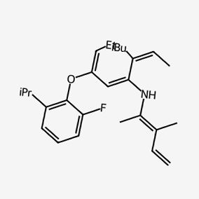 C=C/C(C)=C(\C)NC(=C/C(=C\CC)Oc1c(F)cccc1C(C)C)/C(=C\C)C(C)CC